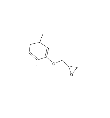 CC1=CCC(C)C=C1OCC1CO1